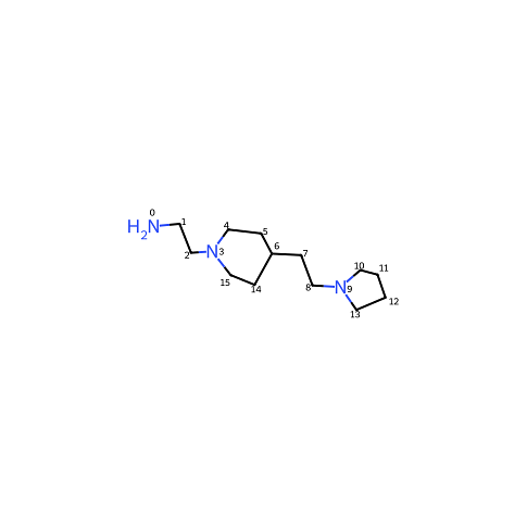 NCCN1CCC(CCN2CCCC2)CC1